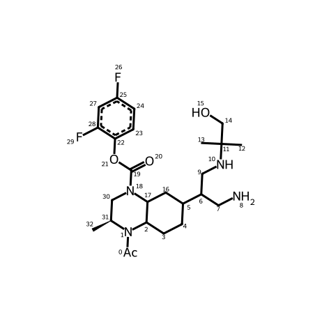 CC(=O)N1C2CCC(C(CN)CNC(C)(C)CO)CC2N(C(=O)Oc2ccc(F)cc2F)C[C@@H]1C